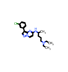 CCN(CC)CCCC(C)Nc1ccn2ncc(-c3cccc(Cl)c3)c2n1